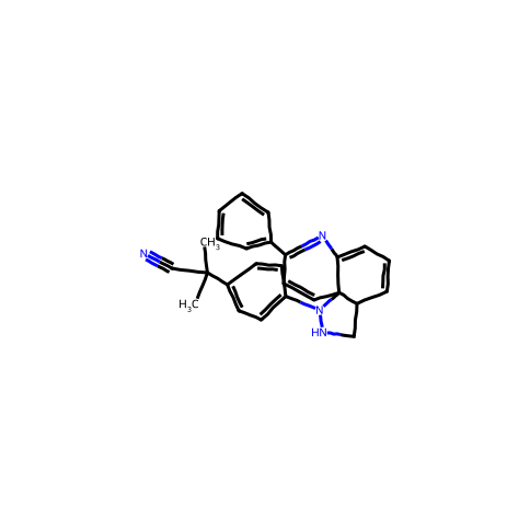 CC(C)(C#N)c1ccc(N2NCC3C=CC=C4N=C(c5ccccc5)C=CC432)cc1